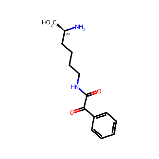 N[C@@H](CCCCNC(=O)C(=O)c1ccccc1)C(=O)O